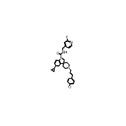 O=C(NCc1ccnc(F)c1)N1CC2(CCN(C/C=C/c3ccc(Cl)cc3)CC2)c2cc(C3CC3)ccc21